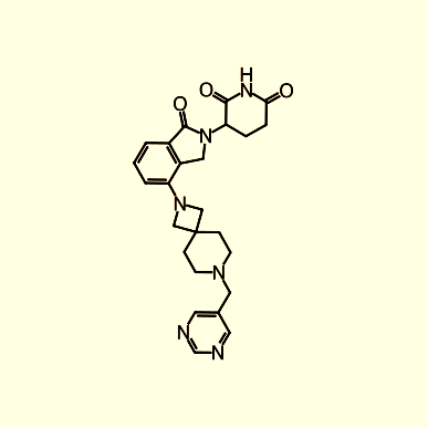 O=C1CCC(N2Cc3c(cccc3N3CC4(CCN(Cc5cncnc5)CC4)C3)C2=O)C(=O)N1